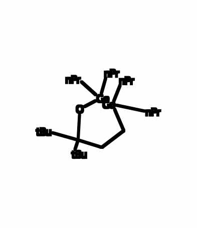 CC[CH2][Ge]1([CH2]CC)[CH2]CC(C(C)(C)C)(C(C)(C)C)[O][Ge]1([CH2]CC)[CH2]CC